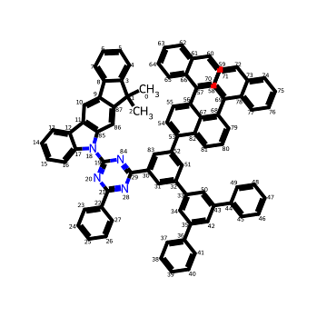 CC1(C)c2ccccc2-c2cc3c4ccccc4n(-c4nc(-c5ccccc5)nc(-c5cc(-c6cc(-c7ccccc7)cc(-c7ccccc7)c6)cc(-c6ccc(-c7cccc8ccccc78)c7c(-c8cccc9ccccc89)cccc67)c5)n4)c3cc21